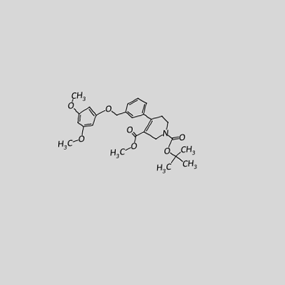 COC(=O)C1=C(c2cccc(COc3cc(OC)cc(OC)c3)c2)CCN(C(=O)OC(C)(C)C)C1